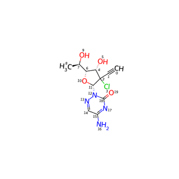 C#CC1(Cl)[C@@H](O)[C@@H]([C@@H](C)O)O[C@H]1n1ncc(N)nc1=O